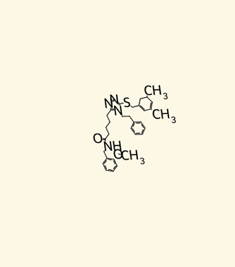 COc1ccccc1CNC(=O)CCCCc1nnc(SCC2=CC(C)=CC(C)C2)n1CCc1ccccc1